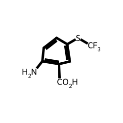 Nc1ccc(SC(F)(F)F)cc1C(=O)O